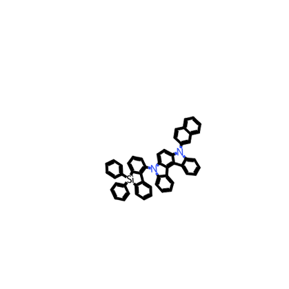 c1ccc([Si]2(c3ccccc3)c3ccccc3-c3c(-n4c5ccccc5c5c6c7ccccc7n(-c7ccc8ccccc8c7)c6ccc54)cccc32)cc1